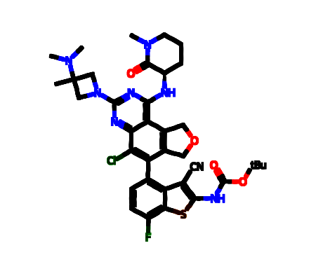 CN1CCC[C@@H](Nc2nc(N3CC(C)(N(C)C)C3)nc3c(Cl)c(-c4ccc(F)c5sc(NC(=O)OC(C)(C)C)c(C#N)c45)c4c(c23)COC4)C1=O